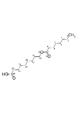 CCCCCCCC(=O)OCCCCCCCCC(=O)O